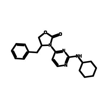 O=C1OCC(Cc2ccccc2)N1c1ccnc(NC2CCCCC2)n1